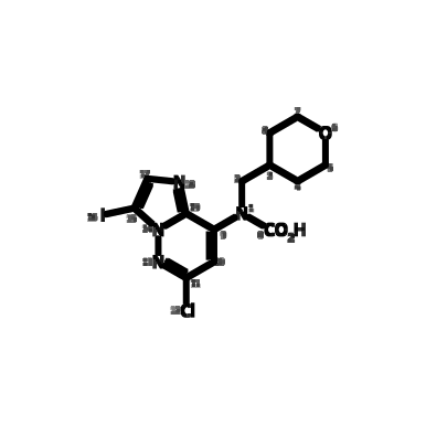 O=C(O)N(CC1CCOCC1)c1cc(Cl)nn2c(I)cnc12